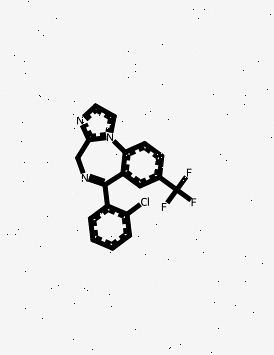 FC(F)(F)c1ccc2c(c1)C(c1ccccc1Cl)=NCc1nccn1-2